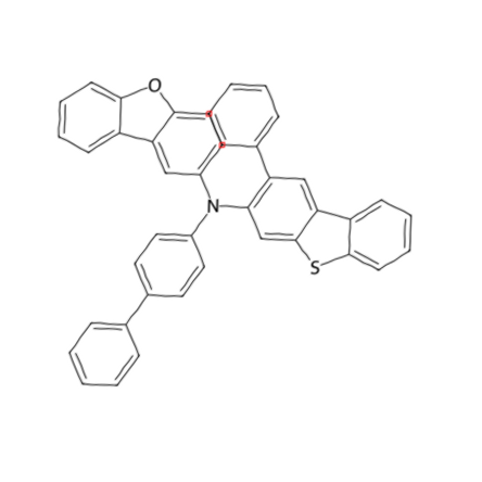 c1ccc(-c2ccc(N(c3ccc4oc5ccccc5c4c3)c3cc4sc5ccccc5c4cc3-c3ccccc3)cc2)cc1